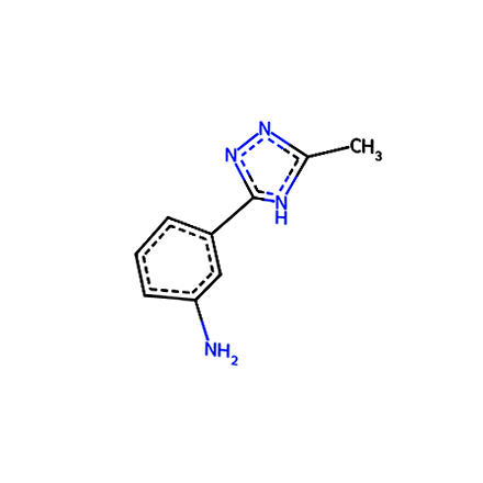 Cc1nnc(-c2cccc(N)c2)[nH]1